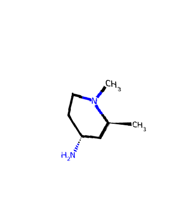 C[C@H]1C[C@H](N)CCN1C